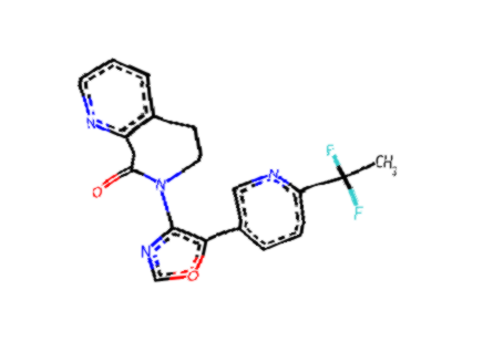 CC(F)(F)c1ccc(-c2ocnc2N2CCc3cccnc3C2=O)cn1